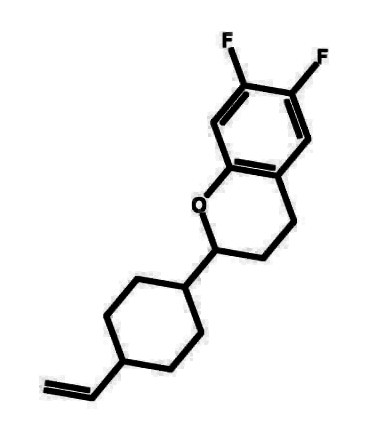 C=CC1CCC(C2CCc3cc(F)c(F)cc3O2)CC1